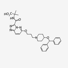 CC(C)(NC(=O)c1nnc2ccc(OCCCN3CCC(OC(c4ccccc4)c4ccccc4)CC3)nn12)C(=O)O